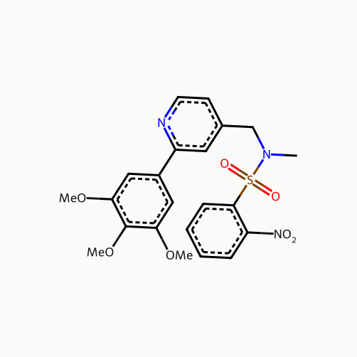 COc1cc(-c2cc(CN(C)S(=O)(=O)c3ccccc3[N+](=O)[O-])ccn2)cc(OC)c1OC